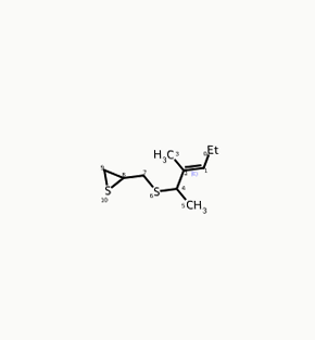 CC/C=C(\C)C(C)SCC1CS1